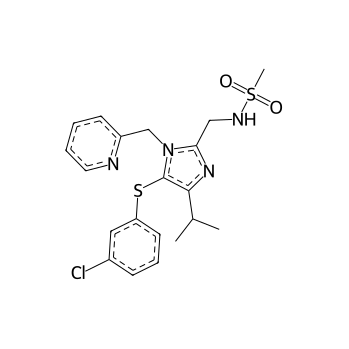 CC(C)c1nc(CNS(C)(=O)=O)n(Cc2ccccn2)c1Sc1cccc(Cl)c1